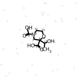 CC(O)C1(C(=O)O)CN(C(=O)O)CCO1